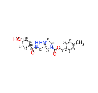 Cc1ccc(COC(=O)N2CCNC(CNC(=O)c3ccc(O)cc3)C2)cc1